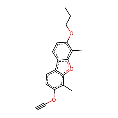 C#COc1ccc2c(oc3c(C)c(OCCC)ccc32)c1C